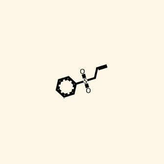 C=CCS(=O)(=O)c1c[c]ccc1